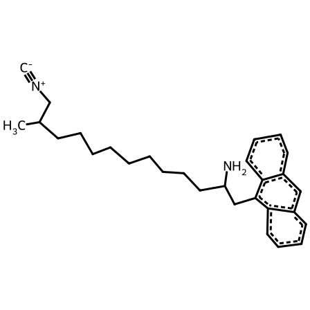 [C-]#[N+]CC(C)CCCCCCCCCC(N)Cc1c2ccccc2cc2ccccc12